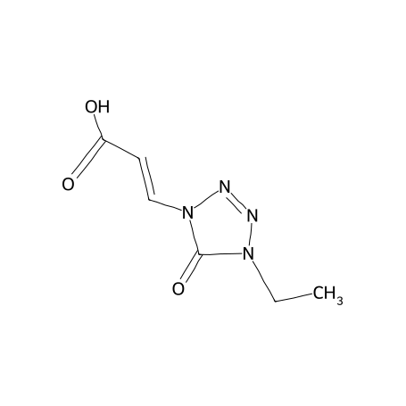 CCn1nnn(/C=C/C(=O)O)c1=O